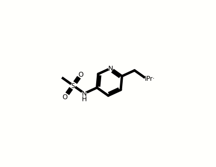 C[C](C)Cc1ccc(NS(C)(=O)=O)cn1